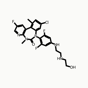 Cc1cc(Cl)cc2c1-c1cc(F)cnc1N(C)C(=O)N2c1c(F)cc(NCCNCCO)cc1F